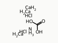 Cl.Cl.N.O=C(O)O.[CaH2].[CaH2].[CaH2]